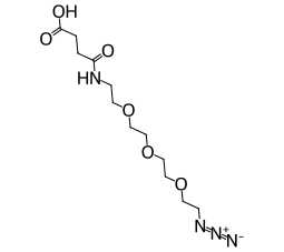 [N-]=[N+]=NCCOCCOCCOCCNC(=O)CCC(=O)O